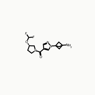 NC12CC(n3cc(C(=O)N4CC[C@@H](OC(F)F)C4)cn3)(C1)C2